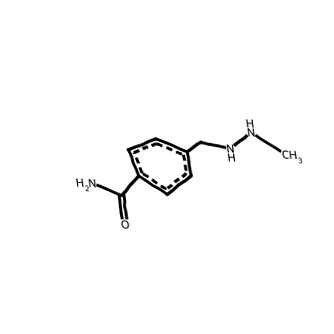 CNNCc1ccc(C(N)=O)cc1